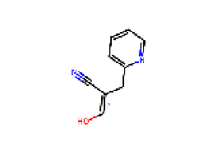 N#C/C(=C\O)Cc1ccccn1